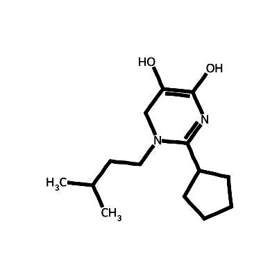 CC(C)CCN1CC(O)=C(O)N=C1C1CCCC1